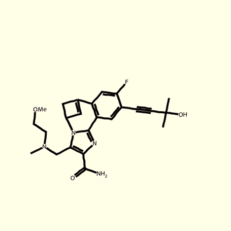 COCCN(C)Cc1c(C(N)=O)nc2n1C1C=C(C1)c1cc(F)c(C#CC(C)(C)O)cc1-2